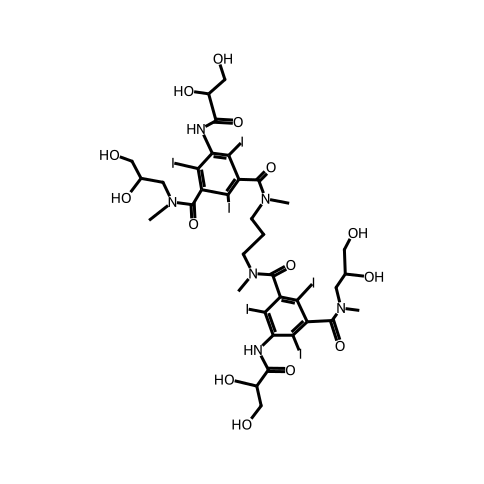 CN(CCCN(C)C(=O)c1c(I)c(NC(=O)C(O)CO)c(I)c(C(=O)N(C)CC(O)CO)c1I)C(=O)c1c(I)c(NC(=O)C(O)CO)c(I)c(C(=O)N(C)CC(O)CO)c1I